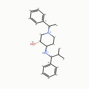 CC(C)C(N[C@@H]1CCN(C(C)c2ccccc2)C[C@H]1O)c1ccccc1